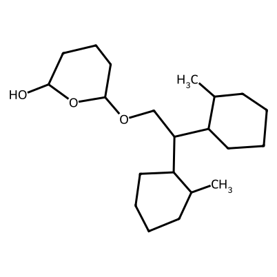 CC1CCCCC1C(COC1CCCC(O)O1)C1CCCCC1C